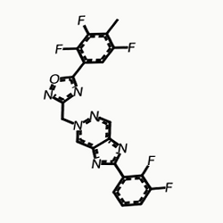 Cc1c(F)cc(-c2nc(Cn3cc4nc(-c5cccc(F)c5F)nc-4cn3)no2)c(F)c1F